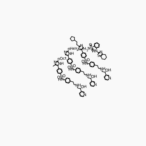 CCCCCCCCc1nc(C)c(-c2ccc(S(=O)(=O)Nc3ccc(CCNCC(O)c4cccnc4)cc3)cc2)[nH]1.CCCCCCc1ncc(-c2ccc(S(=O)(=O)Nc3ccc(CCNCC(O)c4cccnc4)cc3)cc2)[nH]1.Cn1c(-c2ccc(S(=O)(=O)Nc3ccc(CCNCC(O)c4cccnc4)cc3)cc2)cnc1CCC1CCCC1.NS(=O)(=O)c1ccccc1Nc1nc2c(s1)CCCC2